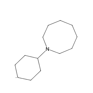 [CH]1CCC(N2CCCCCCC2)CC1